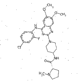 COc1cc2nc(N3CCC(NC(=O)[C@@H]4CCCN4C)CC3)nc(Nc3ccc(Cl)cc3F)c2cc1OC